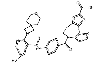 Cc1cnc(N2CC3(CCOCC3)C2)c(C(=O)Nc2ccc(C(=O)N3CCc4cc(C(=O)O)sc4-c4sccc43)cc2)c1